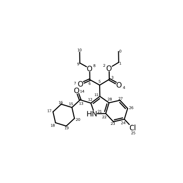 CCOC(=O)C(C(=O)OCC)c1c(C(=O)C2CCCCC2)[nH]c2cc(Cl)ccc12